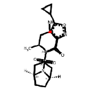 CC1CC(N)CCN1S(=O)(=O)N1[C@@H]2CC[C@H]1C[C@@H](NC(=O)c1cc(C3CC3)on1)C2